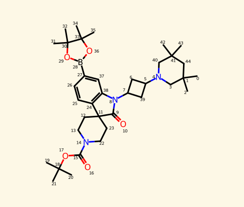 CC1(C)CN(C2CC(N3C(=O)C4(CCN(C(=O)OC(C)(C)C)CC4)c4ccc(B5OC(C)(C)C(C)(C)O5)cc43)C2)CC(C)(C)C1